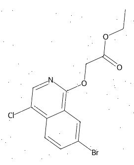 CCOC(=O)COc1ncc(Cl)c2ccc(Br)cc12